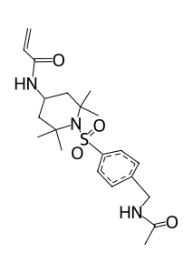 C=CC(=O)NC1CC(C)(C)N(S(=O)(=O)c2ccc(CNC(C)=O)cc2)C(C)(C)C1